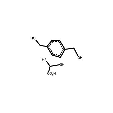 O=C(O)C(S)S.OCc1ccc(CO)cc1